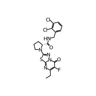 CCc1nc2sc(N3CCC[C@@H]3C(=O)NCc3cccc(Cl)c3Cl)nn2c(=O)c1F